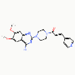 COc1cc2nc(N3CCN(C(=O)/C=C/c4ccncc4)CC3)nc(N)c2cc1OC